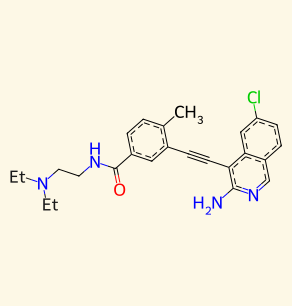 CCN(CC)CCNC(=O)c1ccc(C)c(C#Cc2c(N)ncc3ccc(Cl)cc23)c1